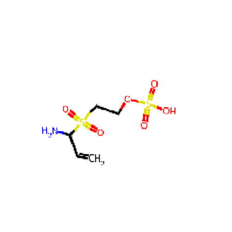 C=CC(N)S(=O)(=O)CCOS(=O)(=O)O